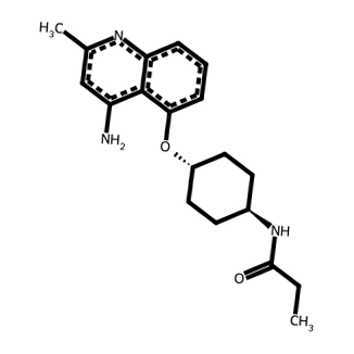 CCC(=O)N[C@H]1CC[C@H](Oc2cccc3nc(C)cc(N)c23)CC1